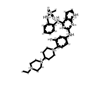 CCN1CCN(C2CCN(c3ccc(Nc4nc(Nc5ccccc5NS(C)(=O)=O)c5cc[nH]c5n4)cc3F)CC2)CC1